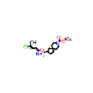 C/C(Cl)=C\C=C(/N)OCC1CCC2(CCN(C(=O)OC(C)(C)C)CC2)C1